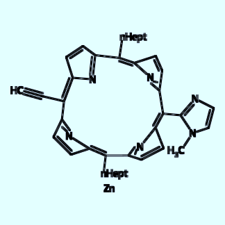 C#CC1=C2C=CC(=N2)C(CCCCCCC)=C2C=CC(=N2)C(c2nccn2C)=C2C=CC(=N2)C(CCCCCCC)=C2C=CC1=N2.[Zn]